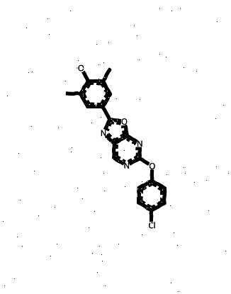 Cc1cc(-c2nc3cnc(Oc4ccc(Cl)cc4)nc3o2)cc(C)c1[O]